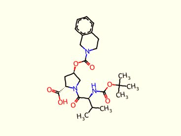 CC(C)[C@H](NC(=O)OC(C)(C)C)C(=O)N1C[C@H](OC(=O)N2CCc3ccccc3C2)C[C@H]1C(=O)O